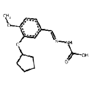 COc1ccc(/C=N/NC(=O)O)cc1OC1CCCC1